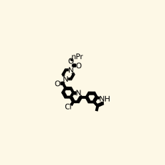 CCCOC(=O)N1CCN(C(=O)c2ccc3c(Cl)cc(-c4ccc5[nH]cc(C)c5c4)nc3c2)CC1